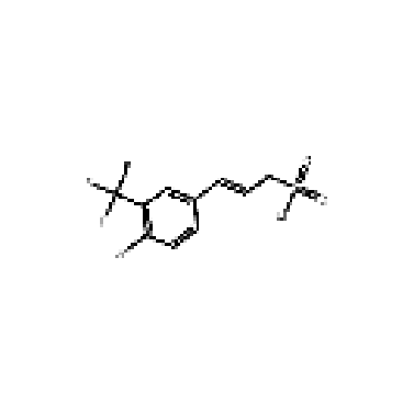 O=S(=O)(Cl)CC=Cc1ccc(Br)c(C(F)(F)F)c1